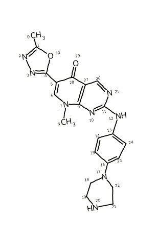 Cc1nnc(-c2cn(C)c3nc(Nc4ccc(N5CCNCC5)cc4)ncc3c2=O)o1